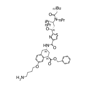 CCCO[C@H](CC(C(C)C)N(CCC)C(=O)C[C@@H](C)CC)c1nc(C(=O)N[C@H]2Cc3ccc(OCCCCN)cc3[C@H](C(=O)OCc3ccccc3)C2)cs1